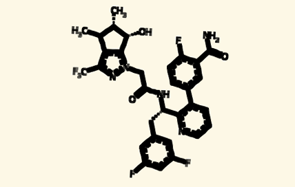 CC1c2c(C(F)(F)F)nn(CC(=O)N[C@@H](Cc3cc(F)cc(F)c3)c3ncccc3-c3ccc(F)c(C(N)=O)c3)c2[C@@H](O)[C@H]1C